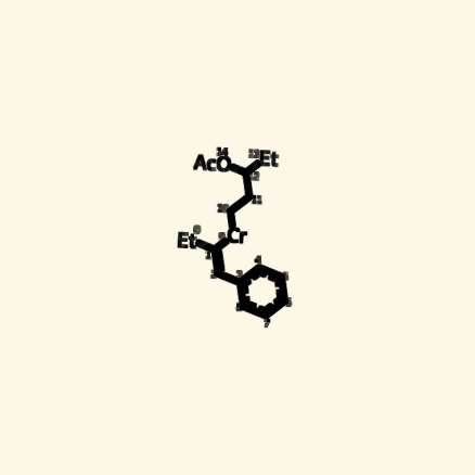 CC[C](=Cc1ccccc1)[Cr][CH2]CC(CC)OC(C)=O